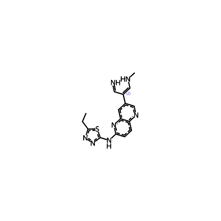 CCc1nnc(Nc2ccc3ncc(/C(C=N)=C/NC)cc3n2)s1